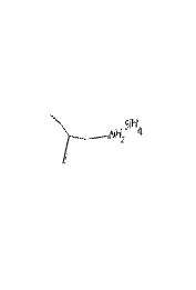 CC(C)N.[SiH4]